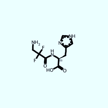 NCC(F)(F)C(=O)N[C@@H](Cc1c[nH]cn1)C(=O)O